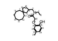 CCN(CC1CC2(CCCCCCC2)CS1)C(=O)COc1cc(C)ccc1O